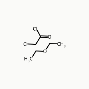 CCOCC.O=C(Cl)CCl